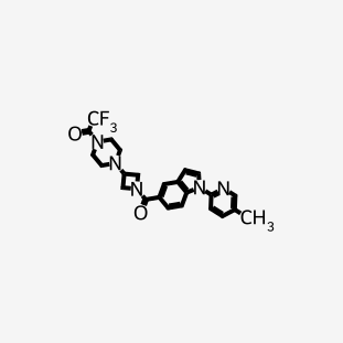 Cc1ccc(-n2ccc3cc(C(=O)N4CC(N5CCN(C(=O)C(F)(F)F)CC5)C4)ccc32)nc1